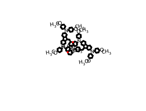 COc1ccc(N(c2ccc(OC)cc2)c2ccc3c(c2)C(=Cc2ccc(N(c4ccccc4)c4ccc(C=C5c6cc(N(c7ccc(OC)cc7)c7ccc(OC)cc7)ccc6-c6ccc(N(c7ccc(OC)cc7)c7ccc(OC)cc7)cc65)cc4)cc2)c2cc(N(c4ccc(OC)cc4)c4ccc(OC)cc4)ccc2-3)cc1